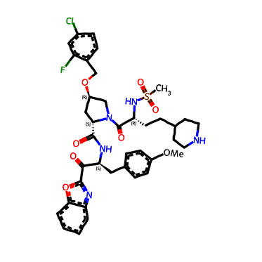 COc1ccc(C[C@H](NC(=O)[C@@H]2C[C@@H](OCc3ccc(Cl)cc3F)CN2C(=O)[C@@H](CCC2CCNCC2)NS(C)(=O)=O)C(=O)c2nc3ccccc3o2)cc1